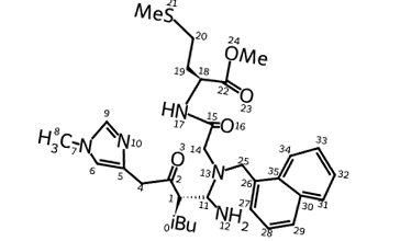 CC[C@H](C)[C@H](C(=O)Cc1cn(C)cn1)C(N)N(CC(=O)N[C@@H](CCSC)C(=O)OC)Cc1cccc2ccccc12